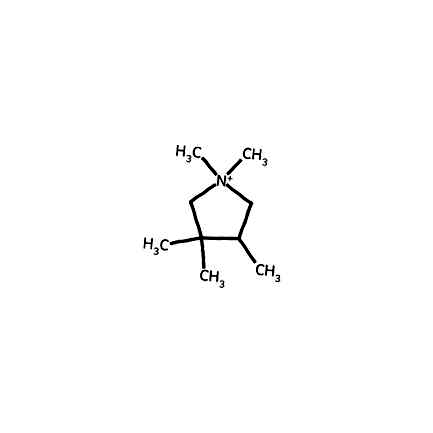 CC1C[N+](C)(C)CC1(C)C